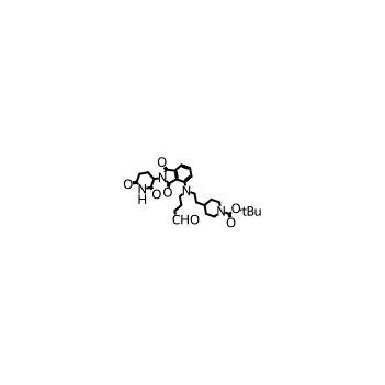 CC(C)(C)OC(=O)N1CCC(CCN(CCCC=O)c2cccc3c2C(=O)N(C2CCC(=O)NC2=O)C3=O)CC1